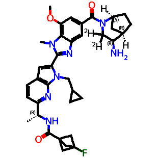 [2H]C1([2H])[C@H](N)[C@@H]2CC[C@@H](C2)N1C(=O)c1cc(OC)c2c(c1)nc(-c1cc3ccc([C@@H](C)NC(=O)C45CC(F)(C4)C5)nc3n1CC1CC1)n2C